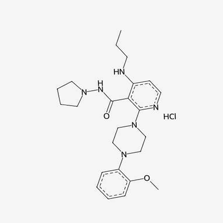 CCCNc1ccnc(N2CCN(c3ccccc3OC)CC2)c1C(=O)NN1CCCC1.Cl